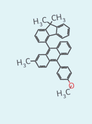 COc1ccc(-c2c3ccccc3c(-c3cccc4c3-c3ccccc3C4(C)C)c3cc(C)ccc23)cc1